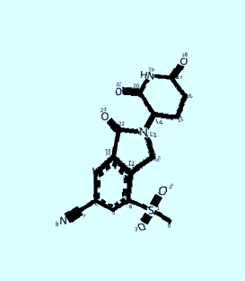 CS(=O)(=O)c1cc(C#N)cc2c1CN(C1CCC(=O)NC1=O)C2=O